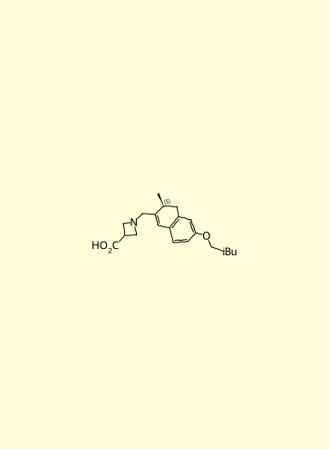 CCC(C)COc1ccc2c(c1)C[C@H](C)C(CN1CC(C(=O)O)C1)=C2